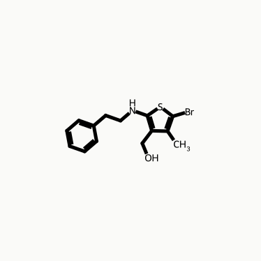 Cc1c(Br)sc(NCCc2ccccc2)c1CO